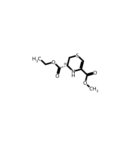 CCOC(=O)[C@@H]1CSC=C(C(=O)OC)N1